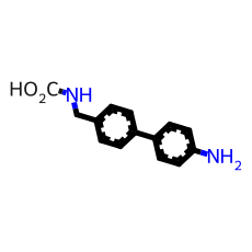 Nc1ccc(-c2ccc(CNC(=O)O)cc2)cc1